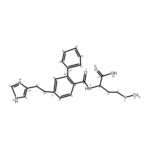 CSCCC(NC(=O)c1ccc(CCc2c[nH]cn2)cc1-c1ccccc1)C(=O)O